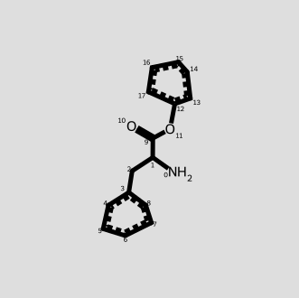 NC(Cc1ccccc1)C(=O)Oc1ccccc1